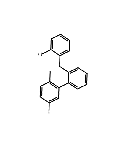 Cc1ccc(C)c(-c2ccccc2Cc2ccccc2Cl)c1